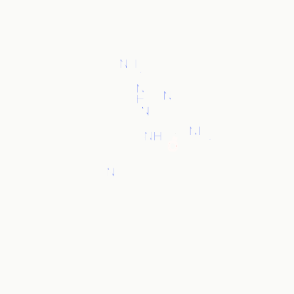 Cc1ccc(Cn2ccc3c(Nc4nc(NC5CCCCC5N)ncc4C(N)=O)cccc32)cc1